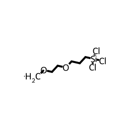 [CH2]OCCOCCC[Si](Cl)(Cl)Cl